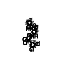 O=C(Nc1cc(NC(=O)C2C(c3cc(Cl)cc(Cl)c3)C2(Cl)Cl)ccc1Cl)c1ccccc1Cl